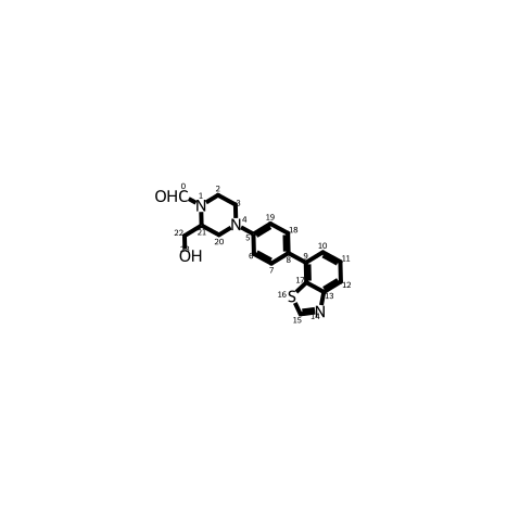 O=CN1CCN(c2ccc(-c3cccc4ncsc34)cc2)CC1CO